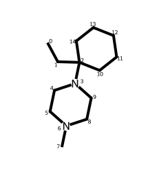 CCC1(N2CCN(C)CC2)CCCCC1